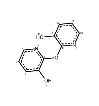 Oc1cccnc1Oc1ncccc1O